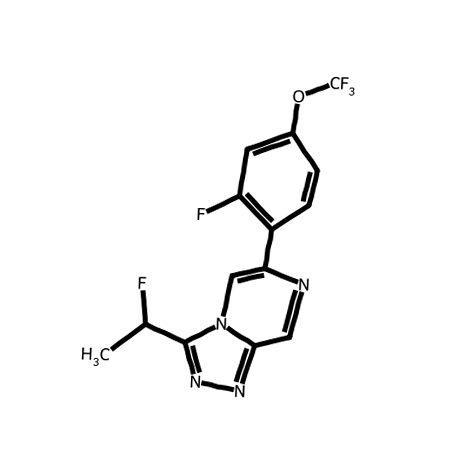 CC(F)c1nnc2cnc(-c3ccc(OC(F)(F)F)cc3F)cn12